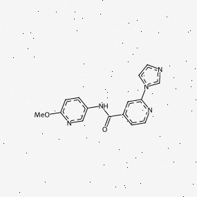 COc1ccc(NC(=O)c2ccnc(-n3ccnc3)c2)cn1